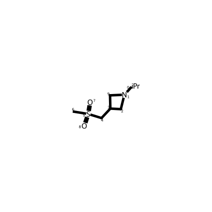 CC(C)N1CC(CS(C)(=O)=O)C1